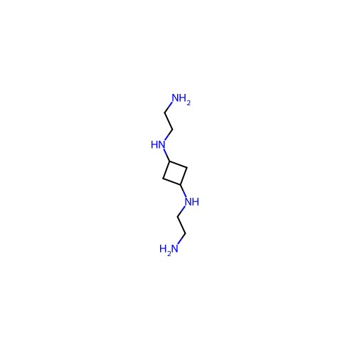 NCCNC1CC(NCCN)C1